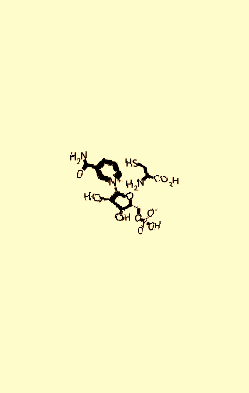 NC(=O)c1ccc[n+]([C@@H]2O[C@H](COP(=O)([O-])O)[C@@H](O)[C@H]2O)c1.NC(CS)C(=O)O